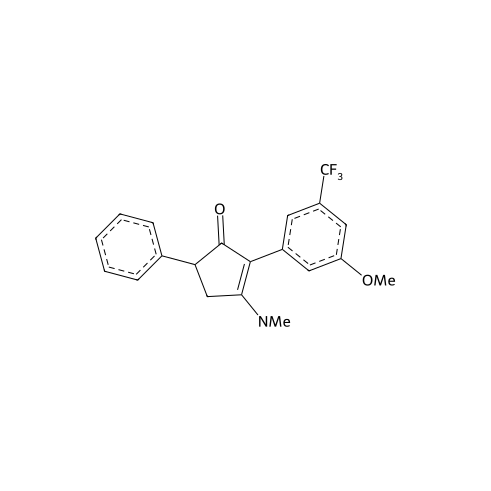 CNC1=C(c2cc(OC)cc(C(F)(F)F)c2)C(=O)C(c2ccccc2)C1